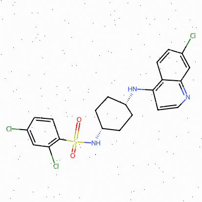 O=S(=O)(N[C@H]1CC[C@@H](Nc2ccnc3cc(Cl)ccc23)CC1)c1ccc(Cl)cc1Cl